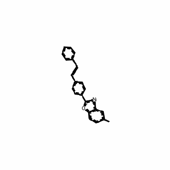 Cc1ccc2oc(-c3ccc(C=Cc4ccccc4)cc3)nc2c1